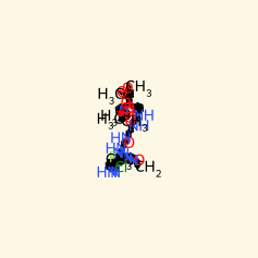 C=CC(=O)N1CCN(c2nc(NCCC(=O)NCCCCNC(=O)CCNc3cccc([C@@H](CCc4ccc(OC)c(OC)c4)OC(=O)C4CCCCN4C(=O)C(=O)C(C)(C)CC)c3)nc3c(F)c(-c4c(C)ccc5[nH]ncc45)c(Cl)cc23)CC1